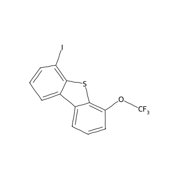 FC(F)(F)Oc1cccc2c1sc1c(I)cccc12